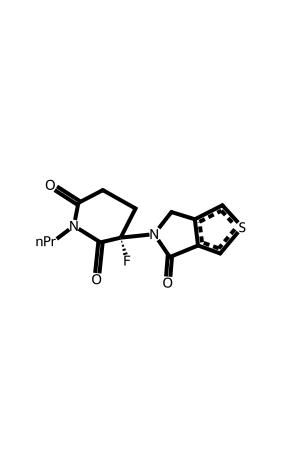 CCCN1C(=O)CC[C@@](F)(N2Cc3cscc3C2=O)C1=O